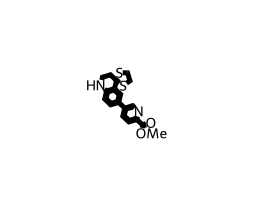 COC(=O)c1ccc(-c2ccc3c(c2)C2(CCN3)SCCS2)cn1